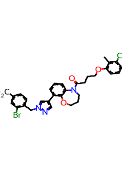 Cc1c(Cl)cccc1OCCCC(=O)N1CCCOc2c(-c3cnn(Cc4ccc(C(=O)O)cc4Br)c3)cccc21